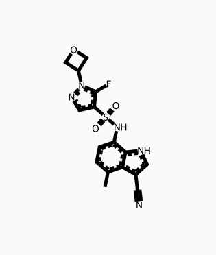 Cc1ccc(NS(=O)(=O)c2cnn(C3COC3)c2F)c2[nH]cc(C#N)c12